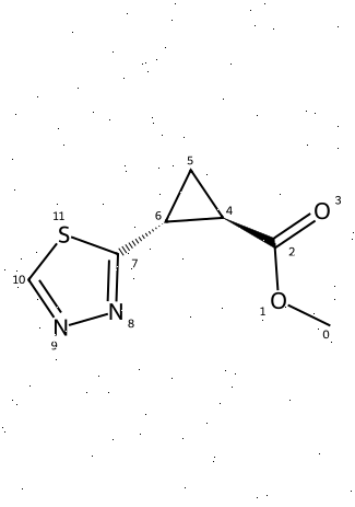 COC(=O)[C@@H]1C[C@H]1c1nncs1